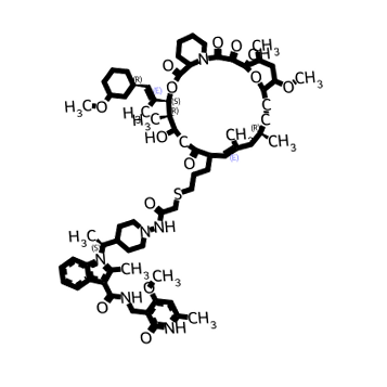 COc1cc(C)[nH]c(=O)c1CNC(=O)c1c(C)n([C@@H](C)C2CCN(NC(=O)CSCCCC3/C=C(\C)C[C@H](C)CCC4OC(O)(C(=O)C(=O)N5CCCCC5C(=O)O[C@H](/C(C)=C/[C@@H]5CCCC(OC)C5)[C@H](C)C(O)CC3=O)C(C)CC4OC)CC2)c2ccccc12